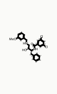 COc1cccc(CNC[C@@H](O)[C@H](Cc2ccccc2)NC(=O)c2cc(Cl)cc(Cl)c2)c1